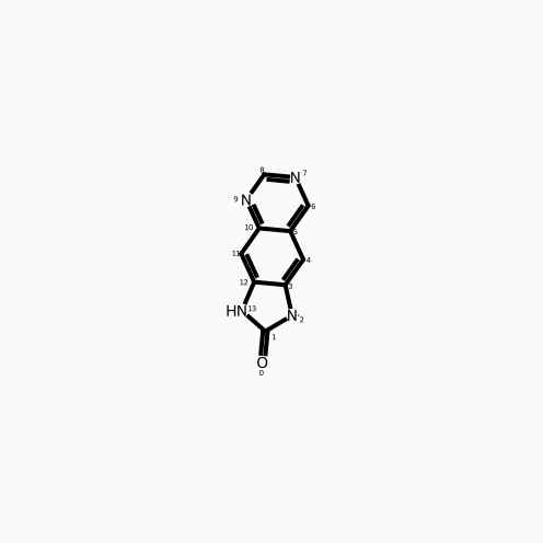 O=C1[N]c2cc3cncnc3cc2N1